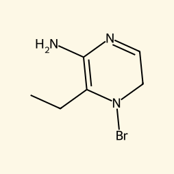 CCC1=C(N)N=CCN1Br